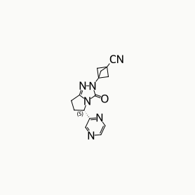 N#CC12CC(n3nc4n(c3=O)[C@H](c3cnccn3)CC4)(C1)C2